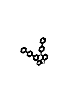 C1=NCc2oc3cccc(N(c4ccc(-c5ccccc5)cc4)c4cccc(-c5ccc(-c6ccccc6)cc5)c4)c3c21